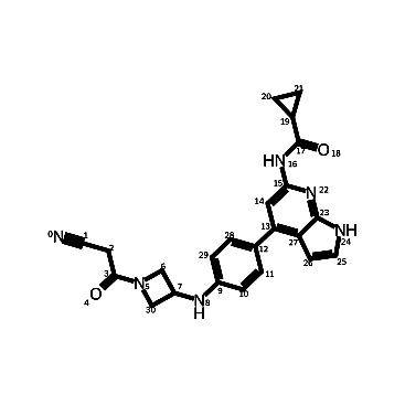 N#CCC(=O)N1CC(Nc2ccc(-c3cc(NC(=O)C4CC4)nc4[nH]ccc34)cc2)C1